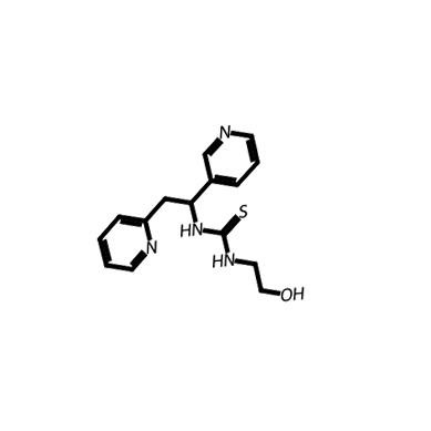 OCCNC(=S)NC(Cc1ccccn1)c1cccnc1